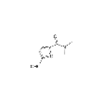 CN(C)C(=O)c1ccc(C=O)o1